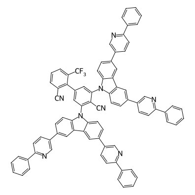 N#Cc1cccc(C(F)(F)F)c1-c1cc(-n2c3ccc(-c4ccc(-c5ccccc5)nc4)cc3c3cc(-c4ccc(-c5ccccc5)nc4)ccc32)c(C#N)c(-n2c3ccc(-c4ccc(-c5ccccc5)nc4)cc3c3cc(-c4ccc(-c5ccccc5)nc4)ccc32)c1